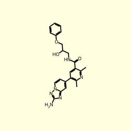 Cc1nc(C)c(-c2ccn3nc(N)nc3c2)cc1C(=O)NCC(O)COc1ccccc1